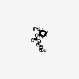 CC(C)c1ccccc1OC(=O)OOOC(C)(C)C